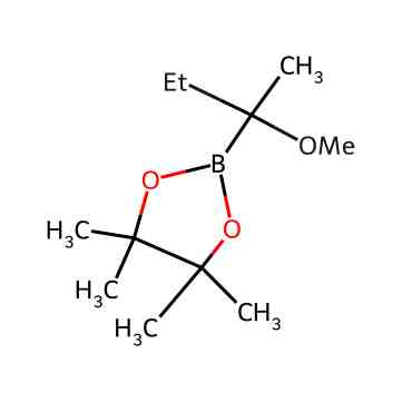 CCC(C)(OC)B1OC(C)(C)C(C)(C)O1